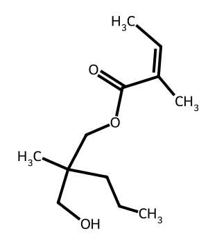 CC=C(C)C(=O)OCC(C)(CO)CCC